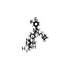 CNc1ncnc(N2CCC(c3nc(-c4ccc(F)c(F)c4)cn3CCN3CCCC3)CC2)c1Br